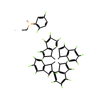 CCCC(C)C[PH+](CCC)c1cc(F)ccc1F.FC1=C(F)[CH]([Al-]([CH]2C(F)=C(F)c3c2cc(F)c(F)c3F)([CH]2C(F)=C(F)c3c2cc(F)c(F)c3F)[CH]2C(F)=C(F)c3c2cc(F)c(F)c3F)c2cc(F)c(F)c(F)c21